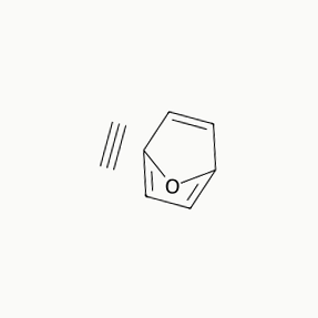 C#C.c1cc2ccc1o2